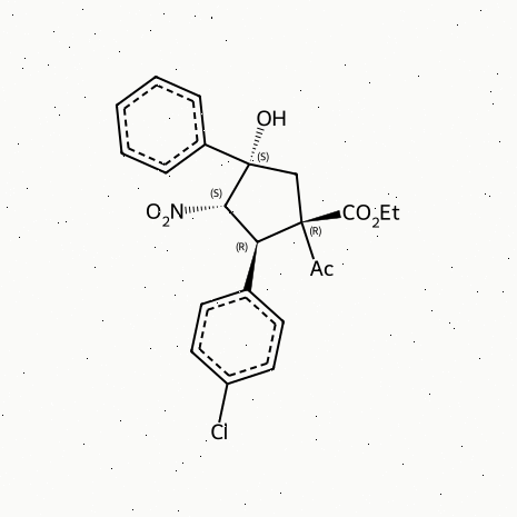 CCOC(=O)[C@]1(C(C)=O)C[C@](O)(c2ccccc2)[C@@H]([N+](=O)[O-])[C@@H]1c1ccc(Cl)cc1